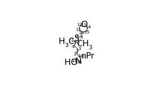 CCC/C(C=CCC(C)(C)SCC1CCOCC1)=N/O